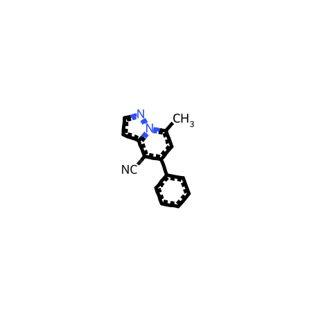 Cc1cc(-c2ccccc2)c(C#N)c2ccnn12